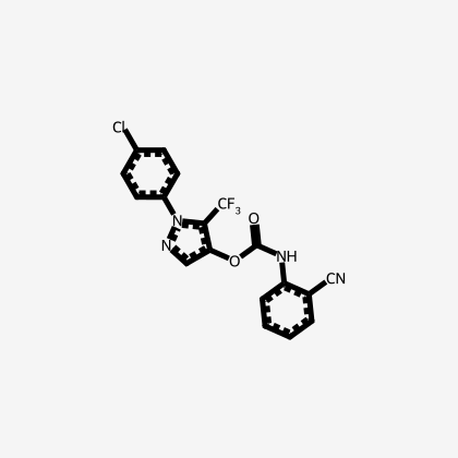 N#Cc1ccccc1NC(=O)Oc1cnn(-c2ccc(Cl)cc2)c1C(F)(F)F